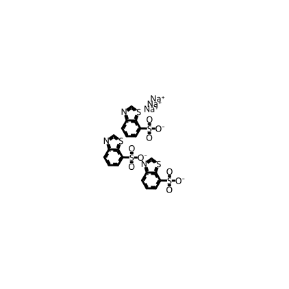 O=S(=O)([O-])c1cccc2ncsc12.O=S(=O)([O-])c1cccc2ncsc12.O=S(=O)([O-])c1cccc2ncsc12.[Na+].[Na+].[Na+]